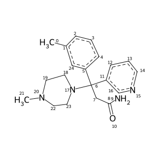 Cc1cccc(C(CC(N)=O)(c2cccnc2)N2CCN(C)CC2)c1